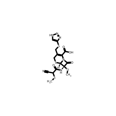 CO[C@@]1(NC(=O)C(C#N)SC)C(=O)N2C(C(=O)O)=C(CSc3c[nH]nn3)CS[C@H]21